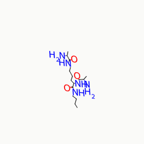 CCCCNC(=O)C(CCCCNC(=O)C(C)N)NC(=O)C(C)N